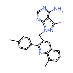 Cc1ccc(-c2nc3c(C)cccc3cc2Cn2nc(I)c3c(N)ncnc32)cc1